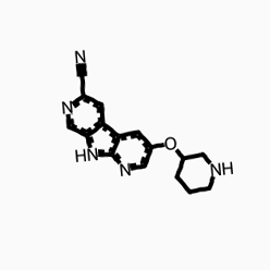 N#Cc1cc2c(cn1)[nH]c1ncc(OC3CCCNC3)cc12